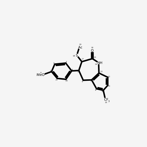 COc1ccc(C2Cc3cc(C(F)(F)F)ccc3NC(=O)C2SC(C)=O)cc1